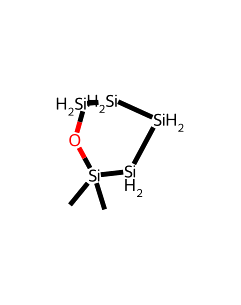 C[Si]1(C)O[SiH2][SiH2][SiH2][SiH2]1